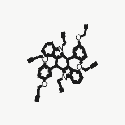 C#CCOc1ccc(OCC#C)c(C2c3c(n(CC#C)c4ccccc34)C(c3cc(OCC#C)ccc3OCC#C)c3c2n(CC#C)c2ccccc32)c1